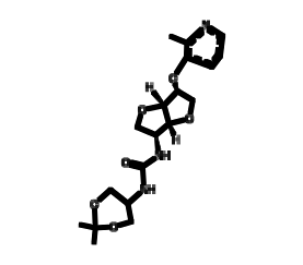 Cc1ncccc1O[C@H]1CO[C@H]2[C@@H]1OC[C@@H]2NC(=O)NC1COC(C)(C)OC1